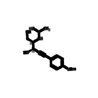 CCCCCCc1ccc(C#C[C@H](O)[C@@H](CO)NB(C)O)cc1